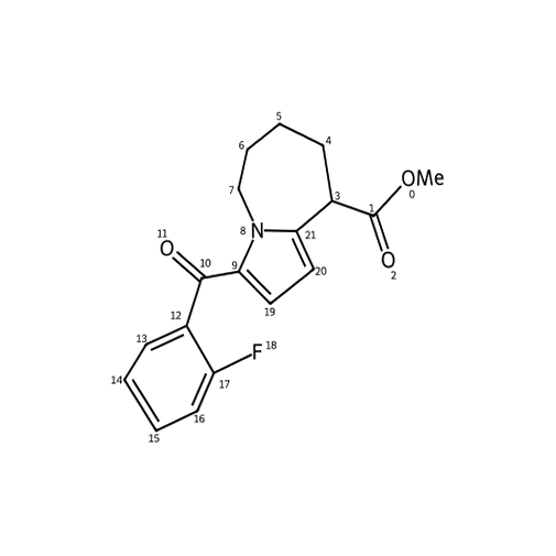 COC(=O)C1CCCCn2c(C(=O)c3ccccc3F)ccc21